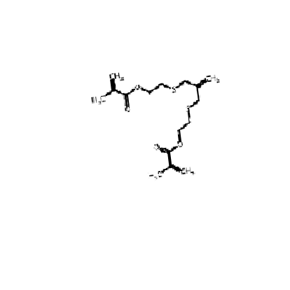 C=C(CSCCOC(=O)C(=C)C)CSCCOC(=O)C(=C)C